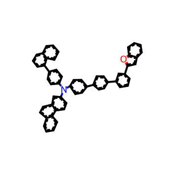 c1cc(-c2ccc(-c3ccc(N(c4ccc(-c5cccc6ccccc56)cc4)c4ccc5c(ccc6ccccc65)c4)cc3)cc2)cc(-c2cc3ccccc3o2)c1